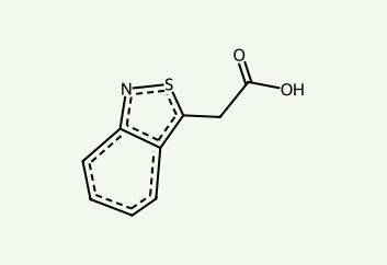 O=C(O)Cc1snc2ccccc12